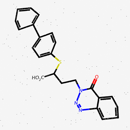 O=C(O)C(CCn1nnc2ccccc2c1=O)Sc1ccc(-c2ccccc2)cc1